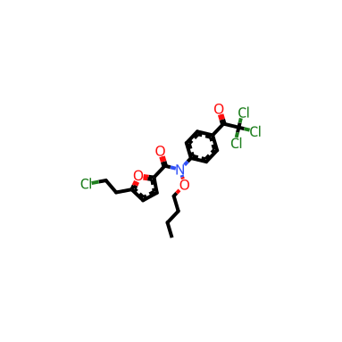 CCCCON(C(=O)c1ccc(CCCl)o1)c1ccc(C(=O)C(Cl)(Cl)Cl)cc1